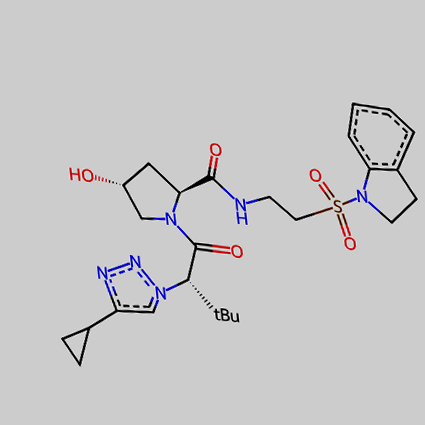 CC(C)(C)[C@@H](C(=O)N1C[C@H](O)C[C@H]1C(=O)NCCS(=O)(=O)N1CCc2ccccc21)n1cc(C2CC2)nn1